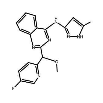 COC(c1ccc(F)cn1)c1nc(Nc2cc(C)[nH]n2)c2ccccc2n1